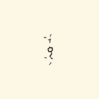 CCOC(=O)C(=Cc1ccc(OCC(OCC)OCC)cc1)OCC